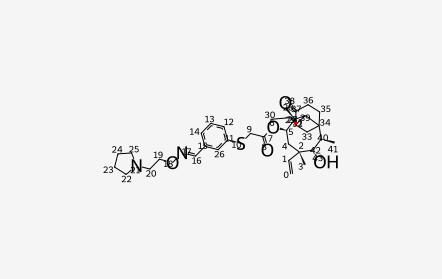 C=C[C@]1(C)C[C@@H](OC(=O)CSc2cccc(/C=N/OCCN3CCCC3)c2)[C@]2(C)C(C)CC34CC(CCC3=O)(C42)[C@@H](C)[C@@H]1O